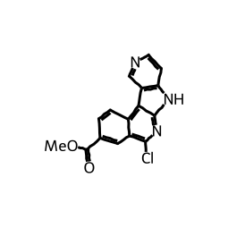 COC(=O)c1ccc2c(c1)c(Cl)nc1[nH]c3ccncc3c12